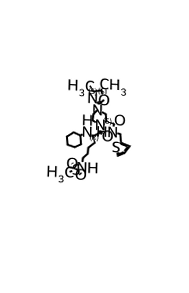 C[C@@H]1N=C(N2CCN(C(=O)[C@@H](CCCCNS(C)(=O)=O)NC3CCCCC3)[C@H](C(=O)NCc3cccs3)C2)O[C@H]1C